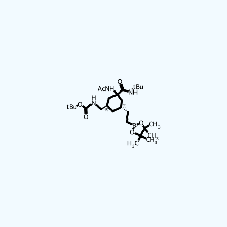 CC(=O)NC1(C(=O)NC(C)(C)C)C[C@H](CCB2OC(C)(C)C(C)(C)O2)C[C@@H](CNC(=O)OC(C)(C)C)C1